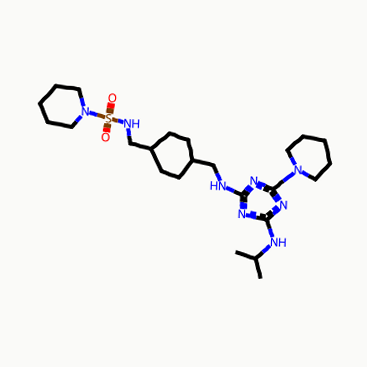 CC(C)Nc1nc(NCC2CCC(CNS(=O)(=O)N3CCCCC3)CC2)nc(N2CCCCC2)n1